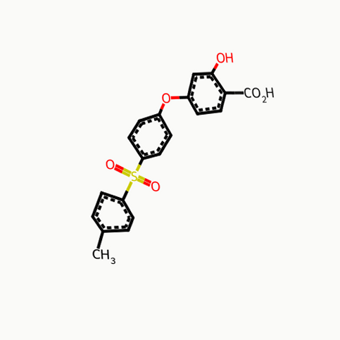 Cc1ccc(S(=O)(=O)c2ccc(Oc3ccc(C(=O)O)c(O)c3)cc2)cc1